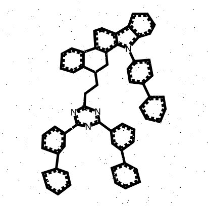 c1ccc(-c2ccc(-n3c4ccccc4c4ccc5c(c43)CC(CCc3nc(-c4cccc(-c6ccccc6)c4)nc(-c4cccc(-c6ccccc6)c4)n3)c3ccccc3-5)cc2)cc1